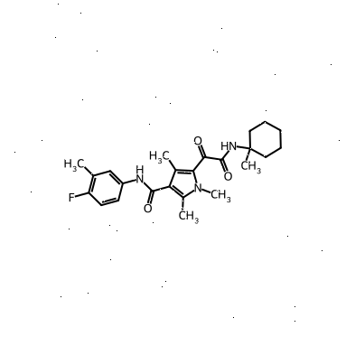 Cc1cc(NC(=O)c2c(C)c(C(=O)C(=O)NC3(C)CCCCC3)n(C)c2C)ccc1F